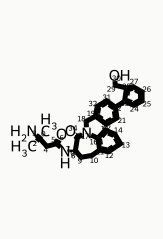 CC(C)(N)CC(=O)N[C@@H]1CCc2ccccc2N(Cc2ccc(-c3ccccc3CO)cc2)C1=O